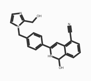 N#Cc1cccc2c1C=C(c1ccc(Cn3ccnc3CO)cc1)NC2O